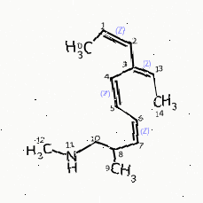 C\C=C/C(/C=C\C=C/C(C)CNC)=C/C